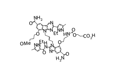 CCn1nc(C)cc1C(=O)Nc1nc2cc(C(N)=O)cc(OCCCNC(=O)OCCC(=O)O)c2n1CC=CCn1c2nc(-c3cc(C)nn3CC)ncc2c2cc(C(N)=O)cc(OCCCOC)c21